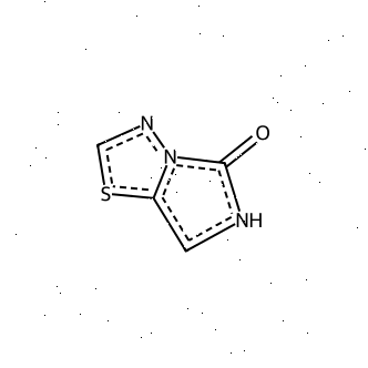 O=c1[nH]cc2scnn12